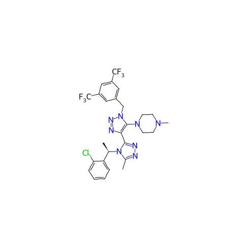 Cc1nnc(-c2nnn(Cc3cc(C(F)(F)F)cc(C(F)(F)F)c3)c2N2CCN(C)CC2)n1[C@H](C)c1ccccc1Cl